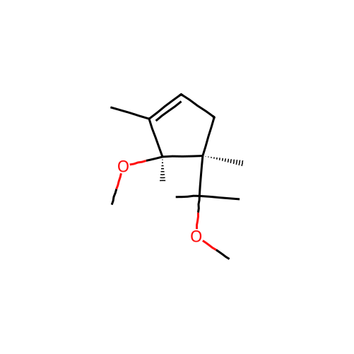 COC(C)(C)[C@]1(C)CC=C(C)[C@]1(C)OC